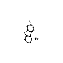 Clc1ccc2c(c1)Cc1cccc(Br)c1-2